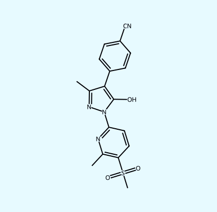 Cc1nc(-n2nc(C)c(-c3ccc(C#N)cc3)c2O)ccc1S(C)(=O)=O